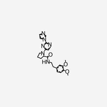 COc1ccc(CCNC(=O)C2CCCN2c2ccnc(-n3ccnc3)n2)cc1OC